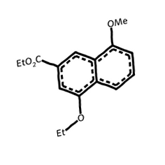 CCOC(=O)c1cc(OCC)c2cccc(OC)c2c1